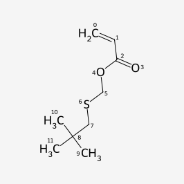 C=CC(=O)OCSCC(C)(C)C